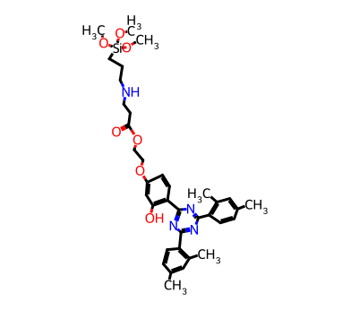 CO[Si](CCCNCCC(=O)OCCOc1ccc(-c2nc(-c3ccc(C)cc3C)nc(-c3ccc(C)cc3C)n2)c(O)c1)(OC)OC